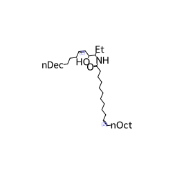 CCCCCCCC/C=C\CCCCCCCCCC(=O)NC(CC)C(O)/C=C\CCCCCCCCCCCCC